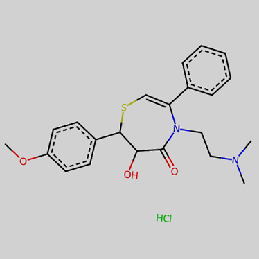 COc1ccc(C2SC=C(c3ccccc3)N(CCN(C)C)C(=O)C2O)cc1.Cl